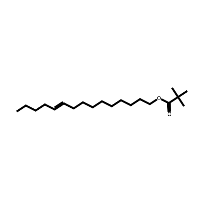 CCCCC=CCCCCCCCCCOC(=O)C(C)(C)C